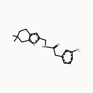 CC1(C)CCc2cc(CNC(=O)Cc3cccc(C(F)(F)F)c3)sc2C1